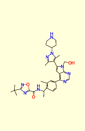 Cc1cc(-c2ncnc3c2cc(-c2c(C)nn(C4CCNCC4)c2C)n3CO)ccc1C(C)NC(=O)c1nc(C(C)(C)C)no1